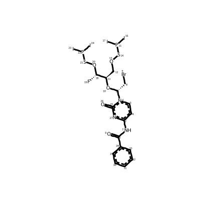 O=C(Nc1ccn([C@@H](CBr)O[C@H](COSP(I)I)[C@H](F)OSP(I)I)c(=O)n1)c1ccccc1